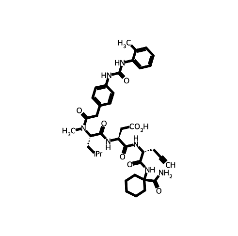 C#CC[C@@H](NC(=O)[C@H](CC(=O)O)NC(=O)[C@H](CC(C)C)N(C)C(=O)Cc1ccc(NC(=O)Nc2ccccc2C)cc1)C(=O)NC1(C(N)=O)CCCCC1